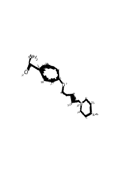 NC(=O)c1ccc(OCCCN2CCCCC2)cc1